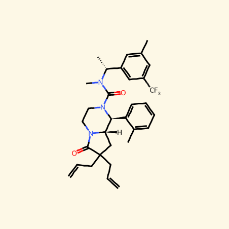 C=CCC1(CC=C)C[C@H]2[C@H](c3ccccc3C)N(C(=O)N(C)[C@H](C)c3cc(C)cc(C(F)(F)F)c3)CCN2C1=O